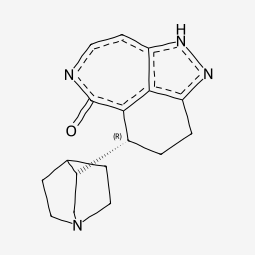 O=c1nccc2[nH]nc3c2c1[C@@H](C1CN2CCC1CC2)CC3